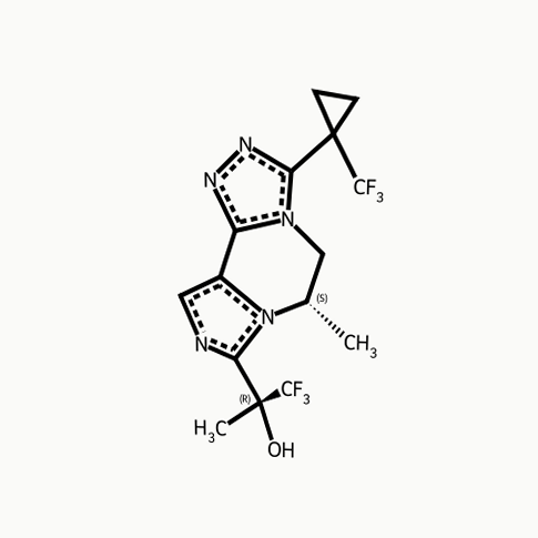 C[C@H]1Cn2c(nnc2C2(C(F)(F)F)CC2)-c2cnc([C@@](C)(O)C(F)(F)F)n21